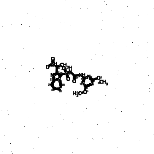 COc1cc(OC)nc(NC(=O)NS(=O)(=O)c2c(C(C)[SH](=O)=O)nc3ccccn23)n1